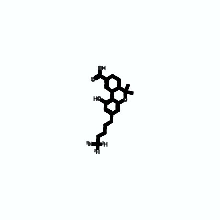 [2H]C([2H])([2H])CCCCc1cc(O)c2c(c1)OC(C)(C)C1CCC(C(=O)O)=CC21